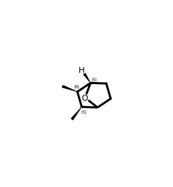 C[C@H]1[C@@H]2CCC(O2)[C@H]1C